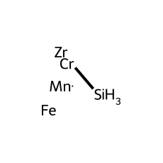 [Fe].[Mn].[SiH3][Cr].[Zr]